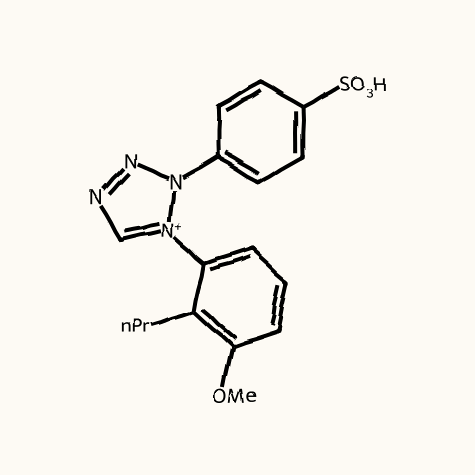 CCCc1c(OC)cccc1-[n+]1cnnn1-c1ccc(S(=O)(=O)O)cc1